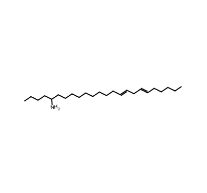 CCCCC/C=C/C/C=C/CCCCCCCCCC(N)CCCC